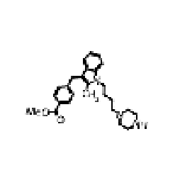 COC(=O)c1ccc(Cc2c(C)n(CCCCN3CCNCC3)c3ccccc23)cc1